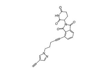 C#Cc1cnn(CCCC#Cc2cccc3c2C(=O)N(C2CCC(=O)NC2=O)C3=O)c1